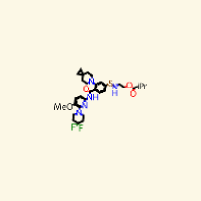 COc1ccc(NC(=O)c2ccc(SNCCOC(=O)C(C)C)cc2N2CCC3(CC2)CC3)nc1N1CCC(F)(F)CC1